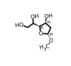 CO[C@H]1C[C@H](O)[C@H](C(O)CO)O1